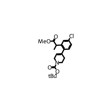 COC(=O)C(C)c1cc(Cl)ccc1C1=CCN(C(=O)OC(C)(C)C)CC1